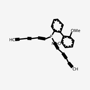 C#CC#CC#CP(C#CC#CC#C)c1ccccc1-c1c(OC)cccc1OC